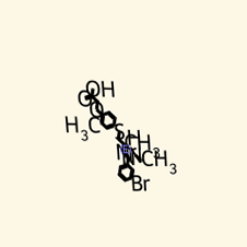 CCNN(/N=C(\C)CSc1ccc(OCC(=O)O)c(C)c1)c1cccc(Br)c1